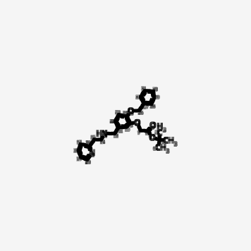 CC(C)(C)OC(=O)COc1cc(CNCCc2ccccn2)ccc1OCc1ccccc1